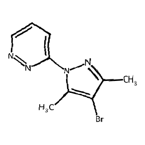 Cc1nn(-c2cccnn2)c(C)c1Br